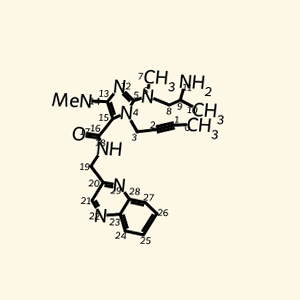 CC#CCn1c(N(C)CC(C)N)nc(NC)c1C(=O)NCc1cnc2ccccc2n1